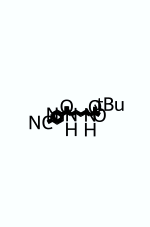 CC(C)(C)OC(=O)NCCCNC(=O)c1ccc(C#N)nc1